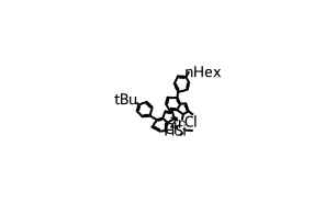 CCCCCCc1ccc(-c2cccc3c2C=C(C)[CH]3[Zr]([Cl])([Cl])([CH]2C=Cc3c(-c4ccc(C(C)(C)C)cc4)cccc32)[SiH](C)C)cc1